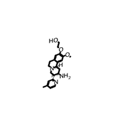 COc1cc2c(cc1OCCO)CCN1C[C@@H](c3cc(C)ccn3)[C@H](N)C[C@H]21